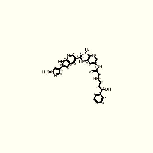 Cc1ncc(NC(=O)CNCCC(O)c2ccccc2)cc1NC(=O)c1cnc2[nH]c(-c3cnn(C)c3)cc2c1